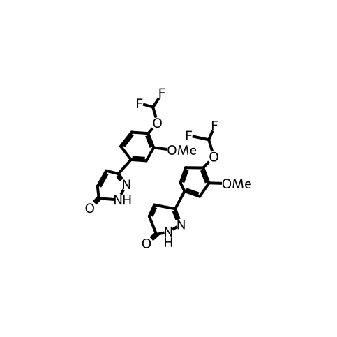 COc1cc(-c2ccc(=O)[nH]n2)ccc1OC(F)F.COc1cc(-c2ccc(=O)[nH]n2)ccc1OC(F)F